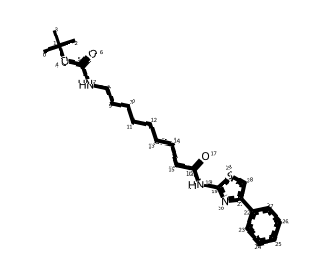 CC(C)(C)OC(=O)NCCCCCCCCC(=O)Nc1nc(-c2ccccc2)cs1